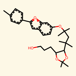 Cc1ccc(-c2cc3ccc(OC(C)(C)CC(C)(C)C4OC(C)(C)OC4CCCO)cc3o2)cc1